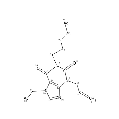 C=CCn1c(=O)n(CCCCC(C)=O)c(=O)c2c1ncn2CC(C)=O